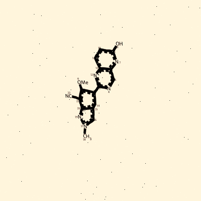 COc1c(-c2ncc3nc(O)ccc3n2)cc2cn(C)nc2c1C#N